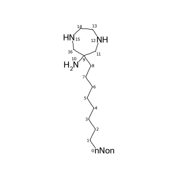 CCCCCCCCCCCCCCCCCC1(N)CNCCNC1